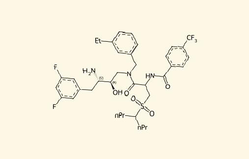 CCCC(CCC)S(=O)(=O)CC(NC(=O)c1ccc(C(F)(F)F)cc1)C(=O)N(Cc1cccc(CC)c1)C[C@@H](O)[C@@H](N)Cc1cc(F)cc(F)c1